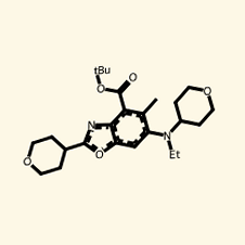 CCN(c1cc2oc(C3CCOCC3)nc2c(C(=O)OC(C)(C)C)c1C)C1CCOCC1